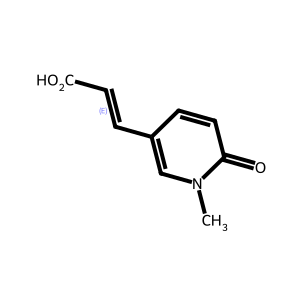 Cn1cc(/C=C/C(=O)O)ccc1=O